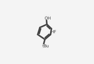 CC(C)(C)c1ccc(O)cc1.F